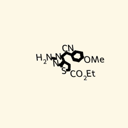 CCOC(=O)C1Cc2c(nc(N)nc2C(C#N)c2ccc(OC)cc2)S1